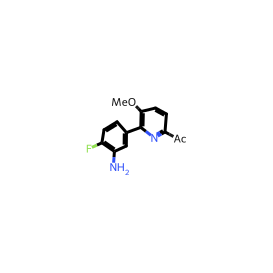 COc1ccc(C(C)=O)nc1-c1ccc(F)c(N)c1